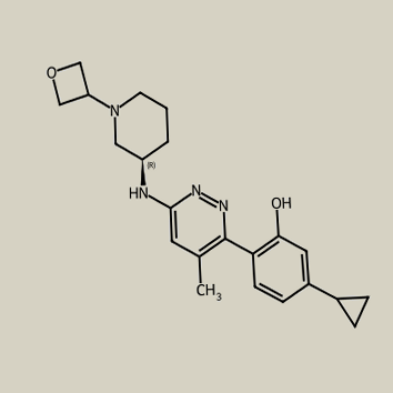 Cc1cc(N[C@@H]2CCCN(C3COC3)C2)nnc1-c1ccc(C2CC2)cc1O